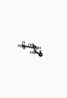 O=C(CCCCCCC1[C@@H](CCC(O)C#Cc2ccccc2F)[C@H](O)C[C@@H]1O)NO